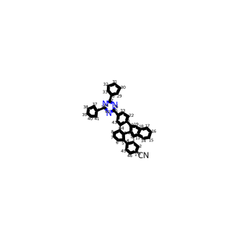 N#Cc1ccc(-c2ccccc2-c2cc3ccccc3cc2-c2ccc(-c3nc(-c4ccccc4)nc(-c4ccccc4)n3)cc2)cc1